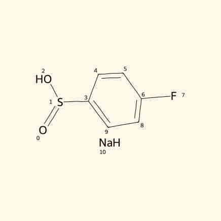 O=S(O)c1ccc(F)cc1.[NaH]